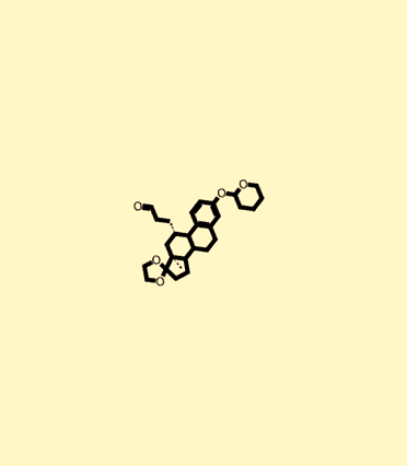 C[C@]12C[C@H](CCC=O)C3c4ccc(OC5CCCCO5)cc4CCC3C1CCC21OCCO1